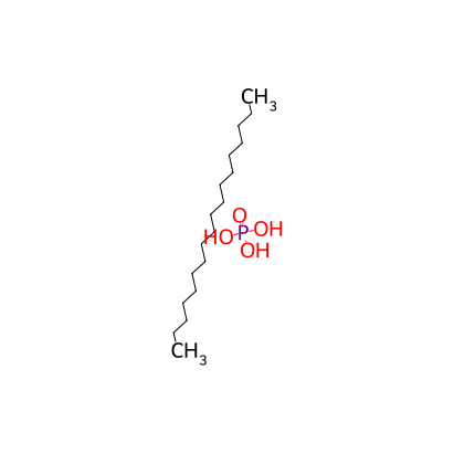 CCCCCCCCCCCCCCCCCC.O=P(O)(O)O